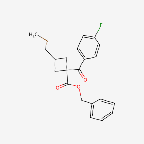 CSCC1CC(C(=O)OCc2ccccc2)(C(=O)c2ccc(F)cc2)C1